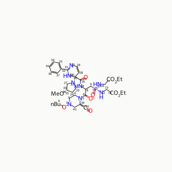 CCCCON1CCN(C(=O)C(CP(=O)(NCC(=O)OCC)NCC(=O)OCC)NC(=O)[C@]2(N3CC[C@H](OC)C3)C=CN=C(c3ccccc3)N2)C(=C=O)C1